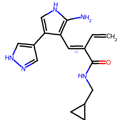 C=C/C(=C\c1c(-c2cn[nH]c2)c[nH]c1N)C(=O)NCC1CC1